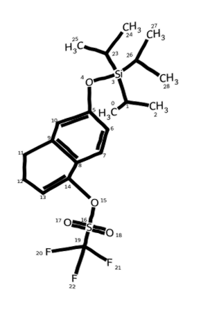 CC(C)[Si](Oc1ccc2c(c1)CCC=C2OS(=O)(=O)C(F)(F)F)(C(C)C)C(C)C